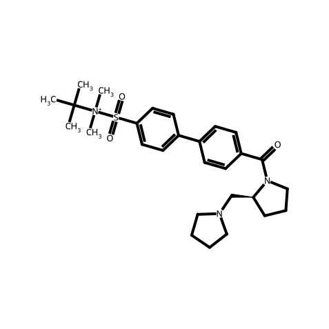 CC(C)(C)[N+](C)(C)S(=O)(=O)c1ccc(-c2ccc(C(=O)N3CCC[C@H]3CN3CCCC3)cc2)cc1